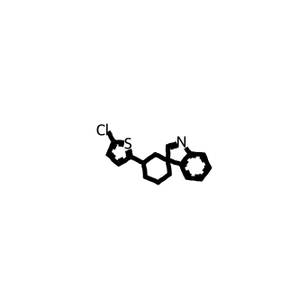 Clc1ccc(C2CCCC3(C=Nc4ccccc43)C2)s1